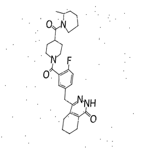 CC1CCCCN1C(=O)C1CCN(C(=O)c2cc(Cc3n[nH]c(=O)c4c3CCCC4)ccc2F)CC1